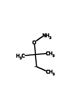 C[CH]C(C)(C)ON